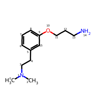 CN(C)CCc1cccc(OCCCN)c1